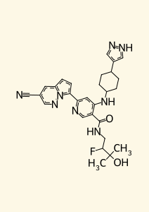 CC(C)(O)C(F)CNC(=O)c1cnc(-c2ccc3cc(C#N)cnn23)cc1NC1CCC(c2cn[nH]c2)CC1